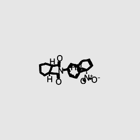 O=C1[C@H]2CCCC[C@H]2C(=O)N1c1ccc2c(c1)C1C=C[C@]2([N+](=O)[O-])N1